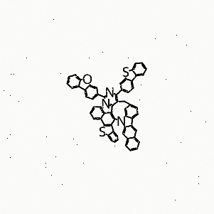 c1ccc2cc3c(cc2c1)c1ccc2cc1n3-c1c(c3ccccc3c3sc4ccccc4c13)-c1nc(-c3ccc4c(c3)oc3ccccc34)nc(-c3ccc4c(c3)sc3ccccc34)c1C2